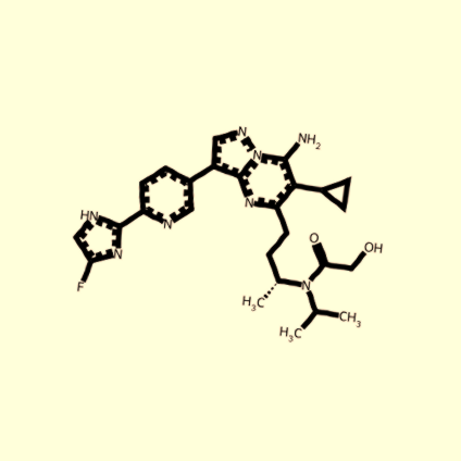 CC(C)N(C(=O)CO)[C@H](C)CCc1nc2c(-c3ccc(-c4nc(F)c[nH]4)nc3)cnn2c(N)c1C1CC1